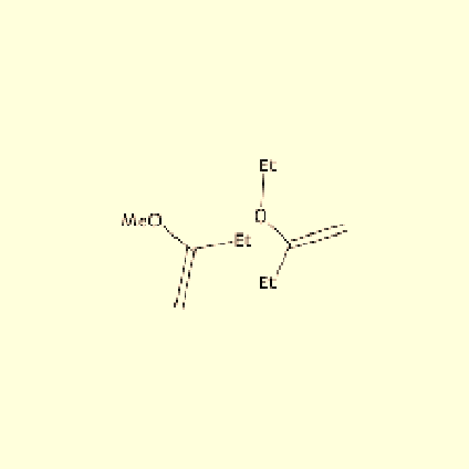 C=C(CC)OC.C=C(CC)OCC